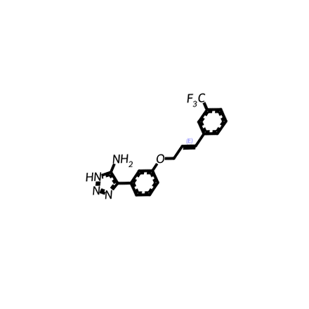 Nc1[nH]nnc1-c1cccc(OC/C=C/c2cccc(C(F)(F)F)c2)c1